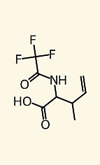 C=CC(C)C(NC(=O)C(F)(F)F)C(=O)O